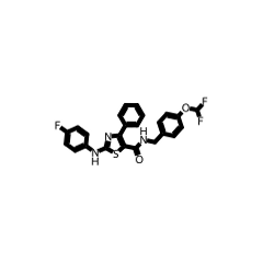 O=C(NCc1ccc(OC(F)F)cc1)c1sc(Nc2ccc(F)cc2)nc1-c1ccccc1